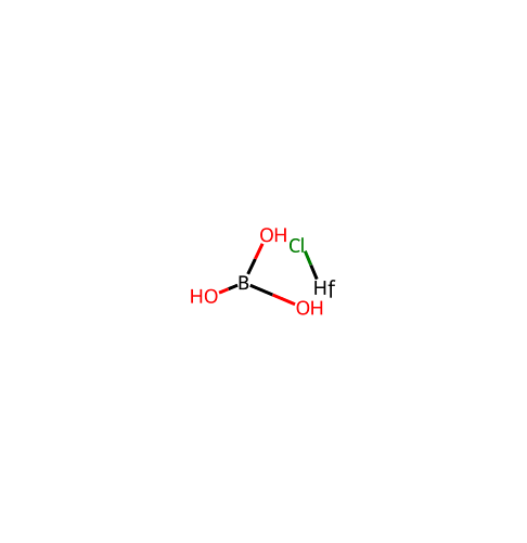 OB(O)O.[Cl][Hf]